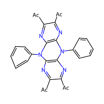 CC(=O)c1nc2c(nc1C(C)=O)N(c1ccccc1)c1nc(C(C)=O)c(C(C)=O)nc1N2c1ccccc1